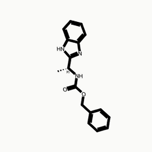 C[C@@H](NC(=O)OCc1ccccc1)c1nc2ccccc2[nH]1